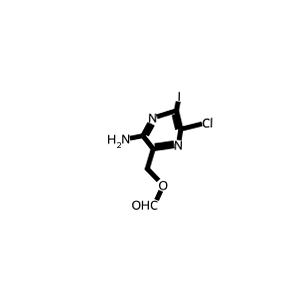 Nc1nc(I)c(Cl)nc1COC=O